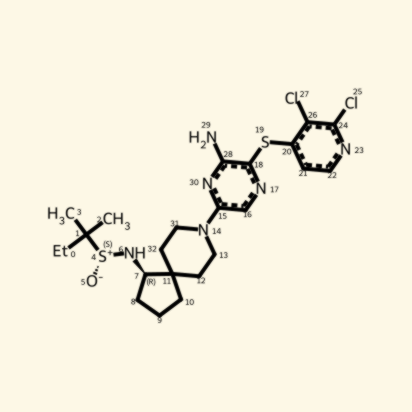 CCC(C)(C)[S@@+]([O-])N[C@@H]1CCCC12CCN(c1cnc(Sc3ccnc(Cl)c3Cl)c(N)n1)CC2